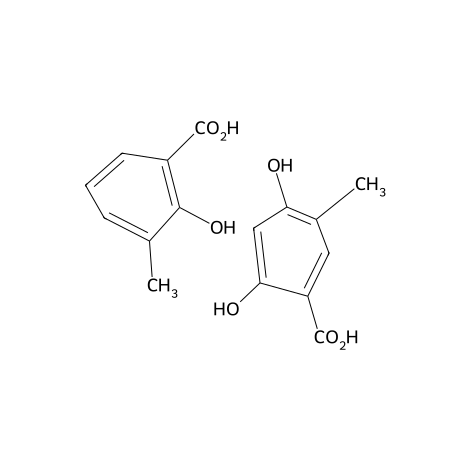 Cc1cc(C(=O)O)c(O)cc1O.Cc1cccc(C(=O)O)c1O